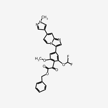 COc1cc(-c2cnc3cc(-c4cnn(C)c4)ccn23)cc(OC(F)F)c1C(=O)C(=O)OCc1ccccc1